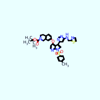 Cc1ccc(S(=O)(=O)n2cc(-c3cc(NCc4nccs4)ncn3)c3c(Oc4ccc5c(c4)CN(C(=O)OC(C)(C)C)CC5)ccnc32)cc1